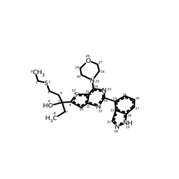 CCSCCC(O)(CC)c1cc2nc(-c3cccc4[nH]ncc34)nc(N3CCOCC3)c2s1